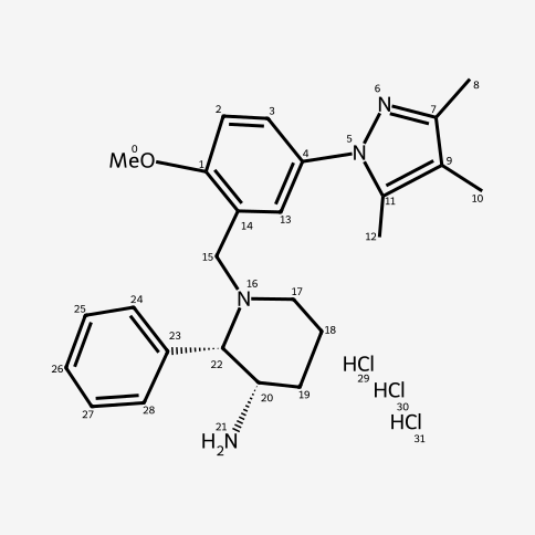 COc1ccc(-n2nc(C)c(C)c2C)cc1CN1CCC[C@H](N)[C@@H]1c1ccccc1.Cl.Cl.Cl